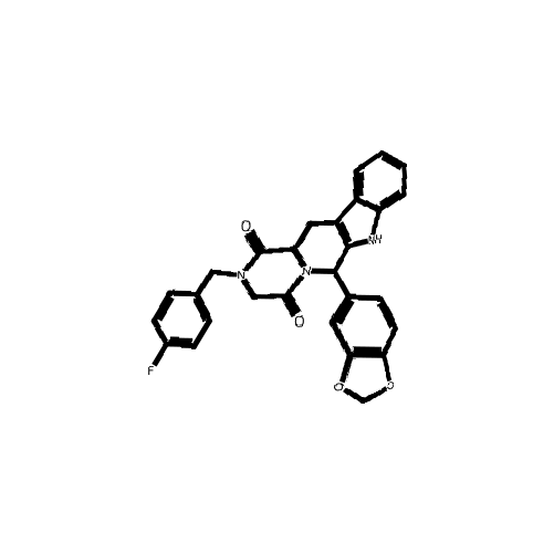 O=C1C2Cc3c([nH]c4ccccc34)C(c3ccc4c(c3)OCO4)N2C(=O)CN1Cc1ccc(F)cc1